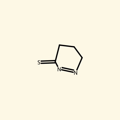 S=C1CCCN=N1